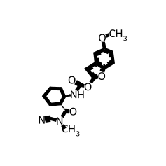 COc1ccc2oc(OC(=O)N[C@@H]3CCCC[C@H]3C(=O)N(C)C#N)cc2c1